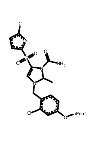 CCCCCOc1ccc(CN2C=C(S(=O)(=O)c3ccc(Cl)s3)N(C(N)=O)C2C)c(Cl)c1